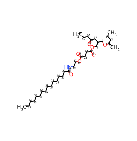 C=C(CCC)OCC(COC(=O)CCC(=O)OCCNC(=O)CCCCCCCCCCCCCCC)CC(=O)CCC